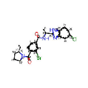 C[C@H](NC(=O)c1ccc(C(=O)N2CCC[C@H]2C)c(Br)c1)c1nc2cc(Cl)ccc2[nH]1